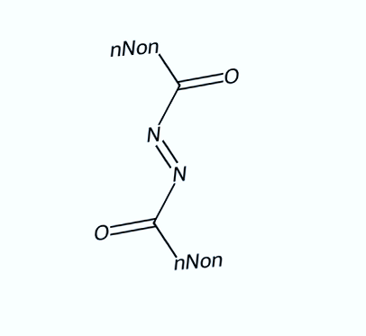 CCCCCCCCCC(=O)N=NC(=O)CCCCCCCCC